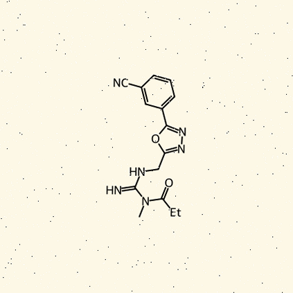 CCC(=O)N(C)C(=N)NCc1nnc(-c2cccc(C#N)c2)o1